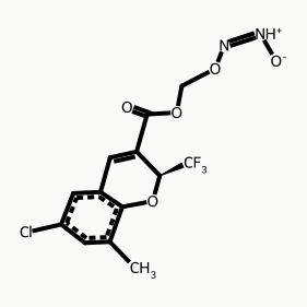 Cc1cc(Cl)cc2c1O[C@H](C(F)(F)F)C(C(=O)OCO/N=[NH+]\[O-])=C2